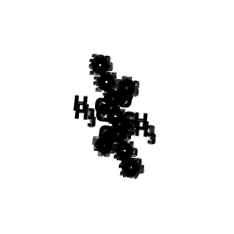 CC1(C)c2cc3c(cc2-c2c1cc(-c1ccc(-c4ccccc4)cc1)c1c2oc2ccccc21)C(C)(C)c1cc(-c2ccc(-c4ccccc4)cc2)c2c(oc4ccccc42)c1-3